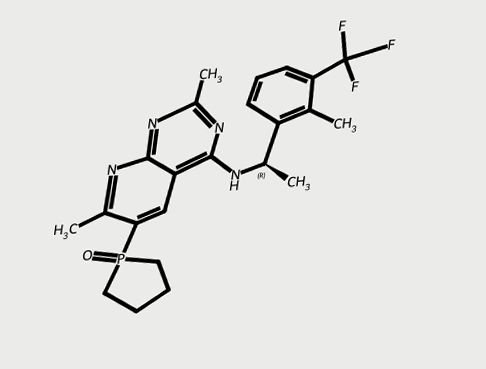 Cc1nc(N[C@H](C)c2cccc(C(F)(F)F)c2C)c2cc(P3(=O)CCCC3)c(C)nc2n1